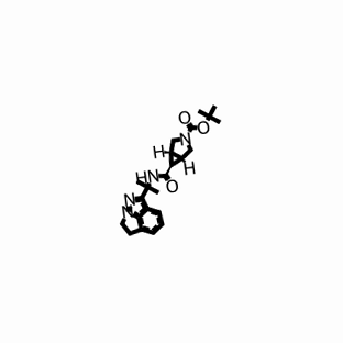 CC(C)(C)OC(=O)N1C[C@@H]2[C@H](C1)[C@H]2C(=O)NC(C)(C)c1nn2c3c(cccc13)CC2